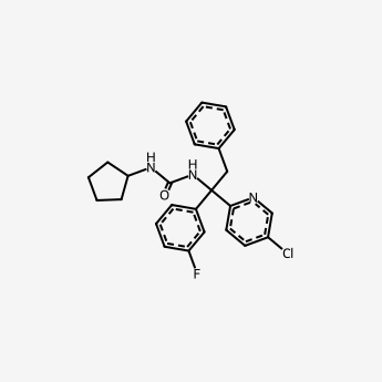 O=C(NC1CCCC1)NC(Cc1ccccc1)(c1cccc(F)c1)c1ccc(Cl)cn1